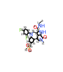 CCNC(=O)c1[nH]c2c(=O)n(C)cc3c2c1CN(c1ccc(F)cc1F)c1ccc(CS(C)(=O)=O)cc1-3